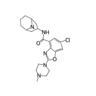 CN1CCN(c2nc3c(C(=O)NC4CC5CCCC(C4)N5C)cc(Cl)cc3o2)CC1